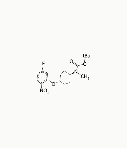 CN(C(=O)OC(C)(C)C)[C@H]1CC[C@H](Oc2cc(F)ccc2[N+](=O)[O-])CC1